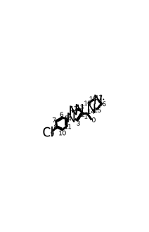 CC(c1cn(-c2ccc(Cl)cc2)nn1)N1CC[N]CC1